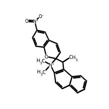 C[C]1c2c(ccc3ccccc23)[N+](C)(C)C12C=Cc1cc([N+](=O)[O-])ccc1O2